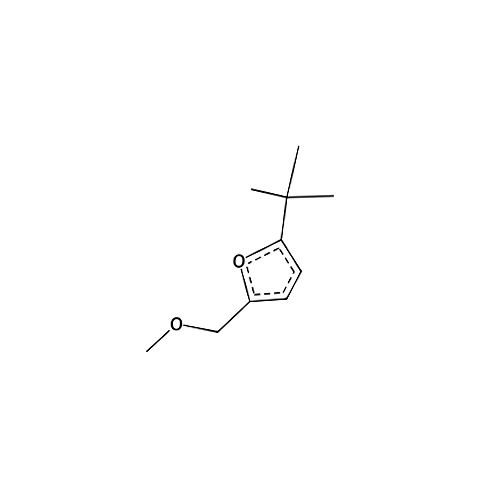 COCc1ccc(C(C)(C)C)o1